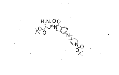 CC(C)(C)OC(=O)CC[C@@H](C(N)=O)N1Cc2cc(N3CC4(C=CN(C(=O)OC(C)(C)C)CC4)C3)ccc2C1=O